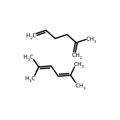 C=CCCC(=C)C.CC(C)=CC=C(C)C